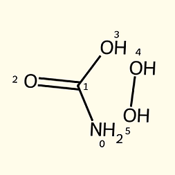 NC(=O)O.OO